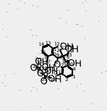 Cc1cccc(C)c1OC(c1c(C)cccc1C)C(CO)(CO)CO.O=P(O)(O)OP(=O)(O)O